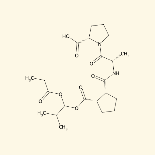 CCC(=O)OC(OC(=O)[C@H]1CCC[C@H]1C(=O)N[C@@H](C)C(=O)N1CCC[C@H]1C(=O)O)C(C)C